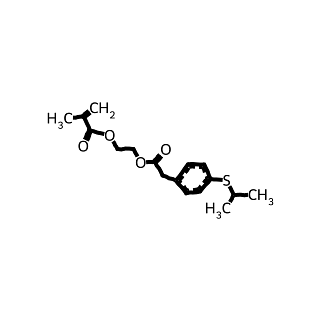 C=C(C)C(=O)OCCOC(=O)Cc1ccc(SC(C)C)cc1